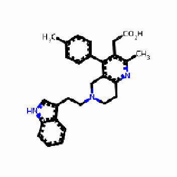 Cc1ccc(-c2c(CC(=O)O)c(C)nc3c2CN(CCc2c[nH]c4ccccc24)CC3)cc1